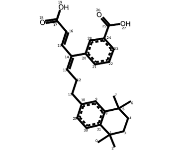 CC1(C)CCC(C)(C)c2cc(CC/C=C(/C=CC(=O)O)c3cccc(C(=O)O)c3)ccc21